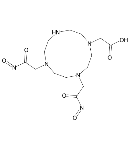 O=NC(=O)CN1CCNCCN(CC(=O)O)CCN(CC(=O)N=O)CC1